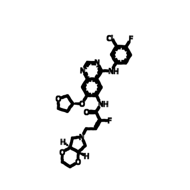 O=C(Nc1cc2c(Nc3ccc(F)c(Cl)c3)ncnc2cc1O[C@H]1CCOC1)/C(F)=C\CN1C[C@@H]2OCCO[C@H]2C1